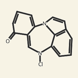 O=C1C=CC=c2c1cn(Cl)c1cccc3ccn2c31